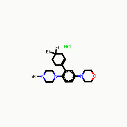 CCCN1CCN(c2ccc(N3CCOCC3)cc2C2=CCC(CC)(CC)CC2)CC1.Cl